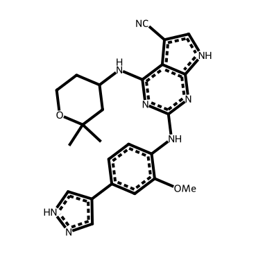 COc1cc(-c2cn[nH]c2)ccc1Nc1nc(NC2CCOC(C)(C)C2)c2c(C#N)c[nH]c2n1